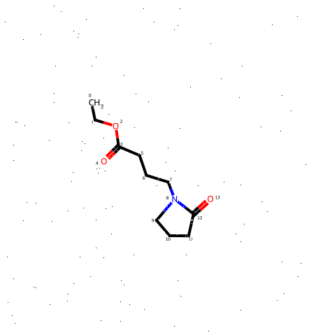 CCOC(=O)CCCN1CCCC1=O